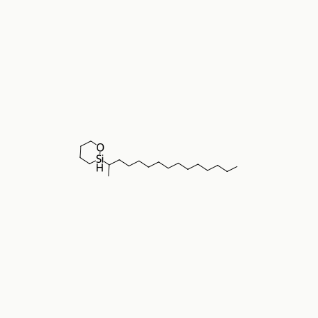 CCCCCCCCCCCCCC(C)[SiH]1CCCCO1